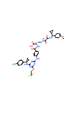 COC(=O)[C@H](CCNC(=O)C(=O)NC(c1ccc(OC)cc1)C1CC1)NC(=O)c1ccc(Nc2nc(NC3(c4ccc(Cl)cc4)CC3)nc(OCC(F)(F)F)n2)cc1